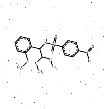 COc1ccccc1C(NS(=O)(=O)c1ccc([N+](=O)[O-])cc1)C(OC)OC